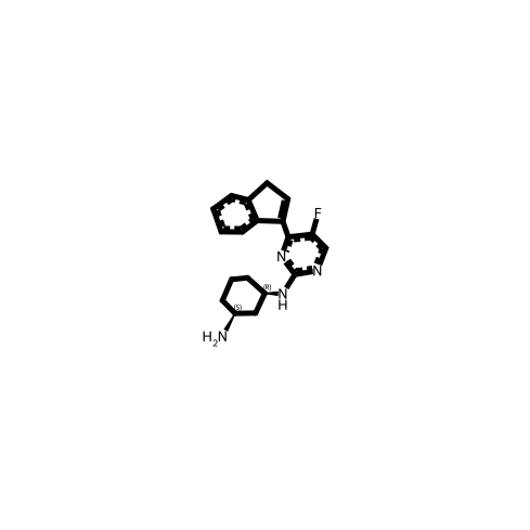 N[C@H]1CCC[C@@H](Nc2ncc(F)c(C3=CCc4ccccc43)n2)C1